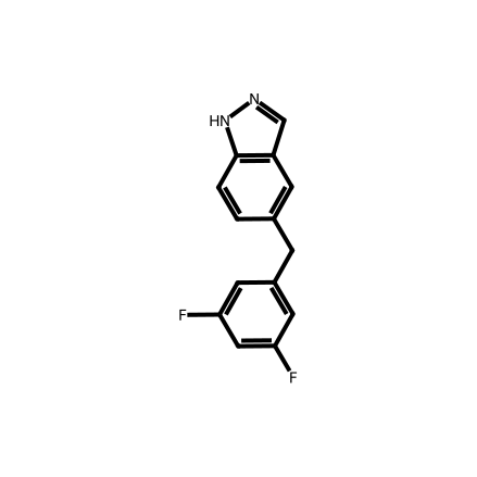 Fc1cc(F)cc(Cc2ccc3[nH]ncc3c2)c1